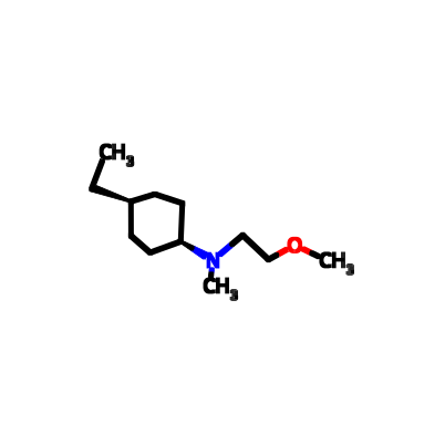 CC[C@H]1CC[C@@H](N(C)CCOC)CC1